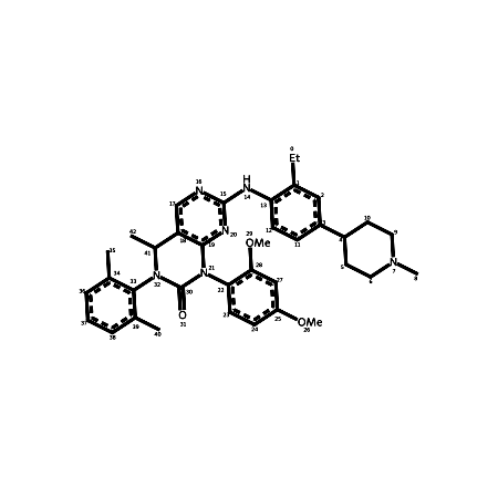 CCc1cc(C2CCN(C)CC2)ccc1Nc1ncc2c(n1)N(c1ccc(OC)cc1OC)C(=O)N(c1c(C)cccc1C)C2C